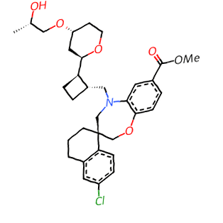 COC(=O)c1ccc2c(c1)N(C[C@@H]1CC[C@H]1[C@H]1C[C@H](OC[C@H](C)O)CCO1)C[C@@]1(CCCc3cc(Cl)ccc31)CO2